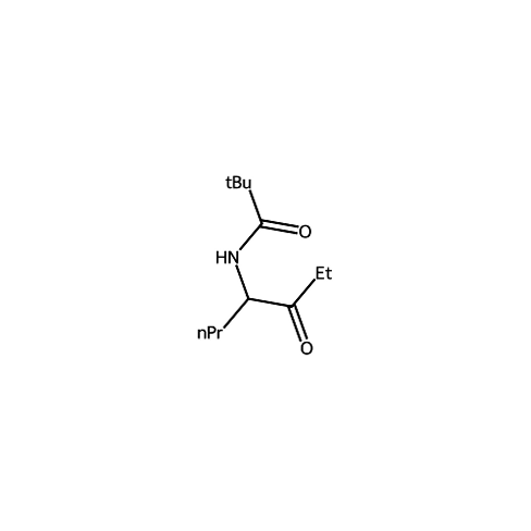 CCCC(NC(=O)C(C)(C)C)C(=O)CC